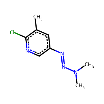 Cc1cc(N=NN(C)C)cnc1Cl